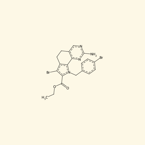 CCOC(=O)c1c(Br)c2c(n1Cc1ccc(Br)cc1)-c1nc(N)ncc1CC2